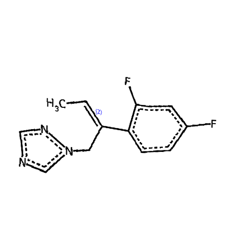 C/C=C(\Cn1cncn1)c1ccc(F)cc1F